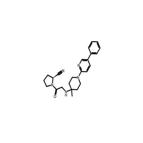 CC1(NCC(=O)N2CCC[C@H]2C#N)CCN(c2ccc(-c3ccccc3)cn2)CC1